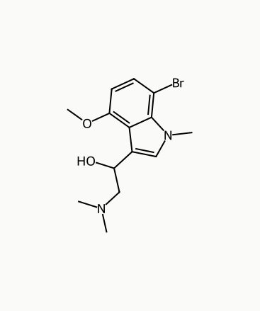 COc1ccc(Br)c2c1c(C(O)CN(C)C)cn2C